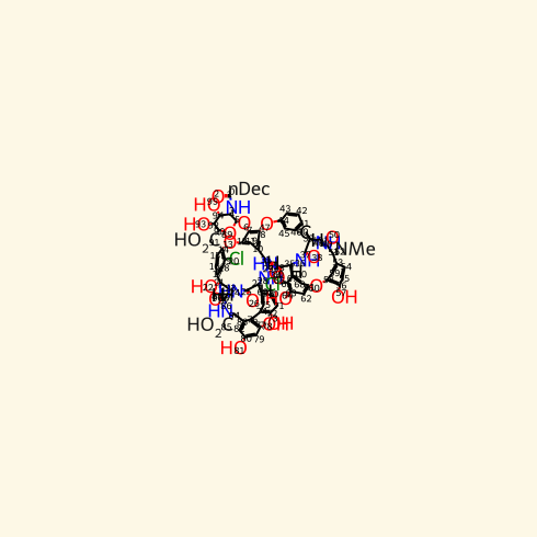 CCCCCCCCCCC(=O)NC1C(Oc2c3cc4cc2Oc2ccc(cc2Cl)[C@@H](O)[C@@H]2NC(=O)[C@H](NC(=O)[C@@H]4NC(=O)[C@H]4NC(=O)[C@@H](Cc5ccc(cc5)O3)NC(=O)[C@H](NC)c3ccc(O)c(c3)Oc3cc(O)c(Cl)c4c3)c3ccc(O)c(c3)-c3c(O)cc(O)cc3[C@@H](C(=O)O)NC2=O)OC(C(=O)O)C(O)C1O